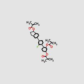 C=C(C)C(=O)Oc1ccc(-c2ccc(-c3ccc4c(c3)CCC4OC(=O)C(=C)C)cc2F)c(OC(=O)C(=C)C)c1